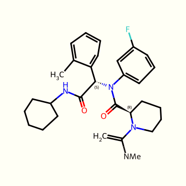 C=C(NC)N1CCCC[C@@H]1C(=O)N(c1cccc(F)c1)[C@H](C(=O)NC1CCCCC1)c1ccccc1C